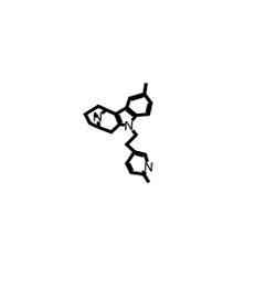 Cc1ccc2c(c1)c1c(n2CCc2ccc(C)nc2)CC2CCCC1N2C